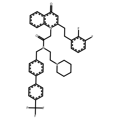 O=C(Cn1c(CCc2cccc(F)c2F)cc(=O)c2ccccc21)N(CCN1CCCCC1)Cc1ccc(-c2ccc(C(F)(F)F)cc2)cc1